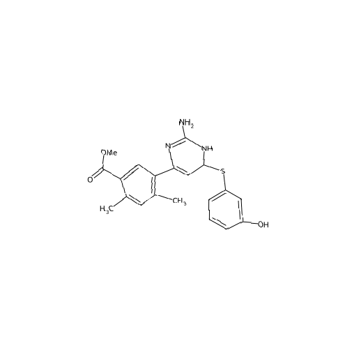 COC(=O)c1cc(C2=CC(Sc3cccc(O)c3)NC(N)=N2)c(C)cc1C